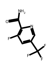 NC(=O)c1ncc(C(F)(F)F)cc1F